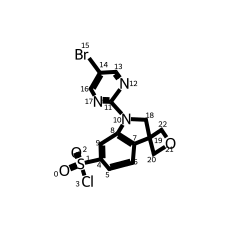 O=S(=O)(Cl)c1ccc2c(c1)N(c1ncc(Br)cn1)CC21COC1